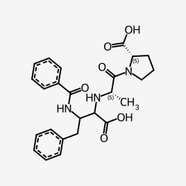 C[C@H](NC(C(=O)O)C(Cc1ccccc1)NC(=O)c1ccccc1)C(=O)N1CCC[C@H]1C(=O)O